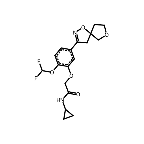 O=C(COc1cc(C2=NOC3(CCOC3)C2)ccc1OC(F)F)NC1CC1